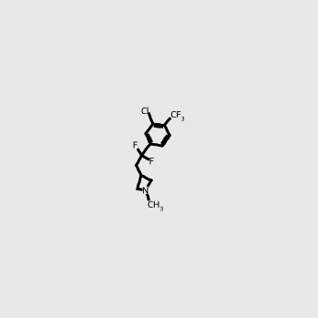 CN1CC(CC(F)(F)c2ccc(C(F)(F)F)c(Cl)c2)C1